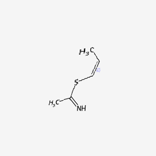 C/C=C\SC(C)=N